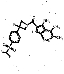 Cc1nnc2[nH]c(C(=O)N3CC(F)(c4ccc(S(=O)(=O)C(F)F)cc4)C3)c(N)c2c1C